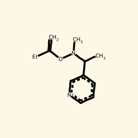 C=C(CC)ON(C)C(C)c1cccnc1